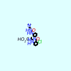 CC(NC(=O)O)c1nc2cccc(Cl)c2c(=O)n1-c1cccc(NC(=O)NCCN(C)C)c1